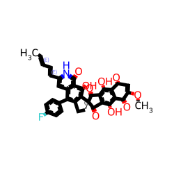 C/C=C/C=C/c1cc2c(-c3ccc(F)cc3)c3c(c(O)c2c(=O)[nH]1)[C@@]1(CC3)C(=O)c2c(O)c3c(c(O)c2C1=O)C(=O)C(OC)=CC3=O